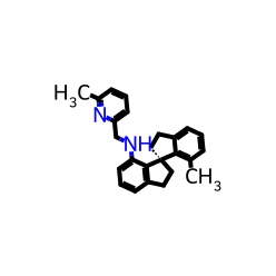 Cc1cccc(CNc2cccc3c2[C@]2(CCc4cccc(C)c42)CC3)n1